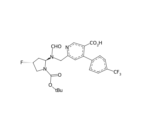 CC(C)(C)OC(=O)N1C[C@H](F)C[C@H]1N(C=O)Cc1cc(-c2ccc(C(F)(F)F)cc2)c(C(=O)O)cn1